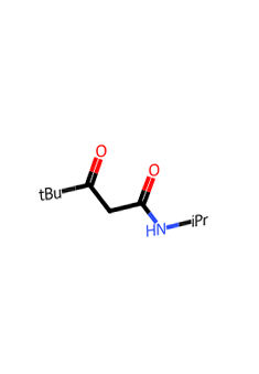 CC(C)NC(=O)CC(=O)C(C)(C)C